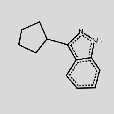 c1ccc2c(C3CCCC3)n[nH]c2c1